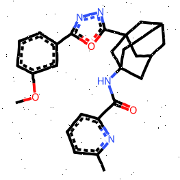 COc1cccc(-c2nnc(C34CC5CC(CC(NC(=O)c6cccc(C)n6)(C5)C3)C4)o2)c1